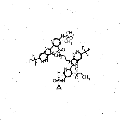 CCS(=O)(=O)c1cc(N=S(C)(=O)C2CC2)cnc1-c1nc2cc(C(F)(F)F)nnc2n1CCCS(=O)(=O)c1cc(N=S(C)(C)=O)cnc1-c1nc2cc(C(F)(F)F)nnc2n1C